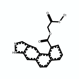 CCSC(=O)COC(=O)c1cccc2ccc3cc4[nH]ncc4cc3c12